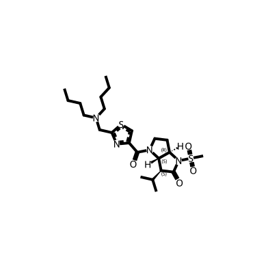 CCCCN(CCCC)Cc1nc(C(=O)N2CC[C@@H]3[C@@H]2[C@H](C(C)C)C(=O)N3S(C)(=O)=O)cs1